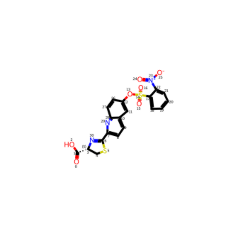 O=C(O)[C@H]1CSC(c2ccc3cc(OS(=O)(=O)c4ccccc4[N+](=O)[O-])ccc3n2)=N1